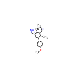 C/C=C\c1c(C)c(-c2ccc(OC(F)(F)F)cc2)cc(CN)c1C#N